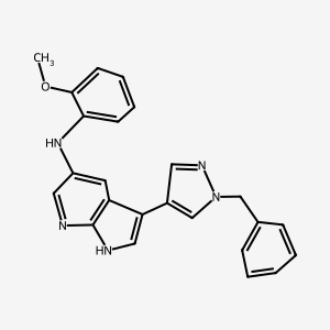 COc1ccccc1Nc1cnc2[nH]cc(-c3cnn(Cc4ccccc4)c3)c2c1